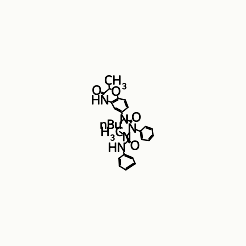 CCCCN(C(=O)N(c1ccccc1)N(C)C(=O)Nc1ccccc1)c1ccc2c(c1)NC(=O)C(C)O2